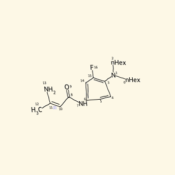 CCCCCCN(CCCCCC)c1ccc(NC(=O)/C=C(/C)N)cc1F